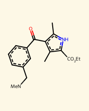 CCOC(=O)c1[nH]c(C)c(C(=O)c2cccc(CNC)c2)c1C